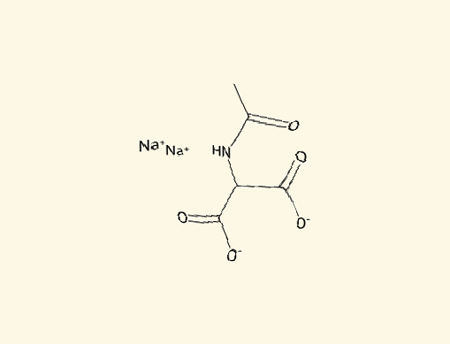 CC(=O)NC(C(=O)[O-])C(=O)[O-].[Na+].[Na+]